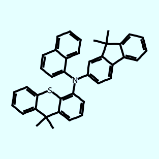 CC1(C)c2ccccc2-c2ccc(N(c3cccc4c3Sc3ccccc3C4(C)C)c3cccc4ccccc34)cc21